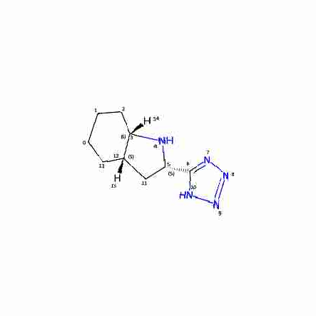 C1CC[C@@H]2N[C@H](c3nnn[nH]3)C[C@@H]2C1